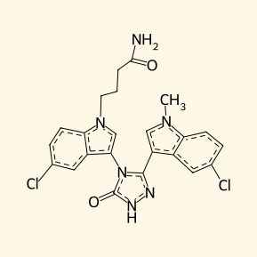 Cn1cc(-c2n[nH]c(=O)n2-c2cn(CCCC(N)=O)c3ccc(Cl)cc23)c2cc(Cl)ccc21